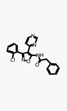 O=C(Cc1ccccc1)Nc1onc(-c2ccccc2Cl)c1-c1ccncn1